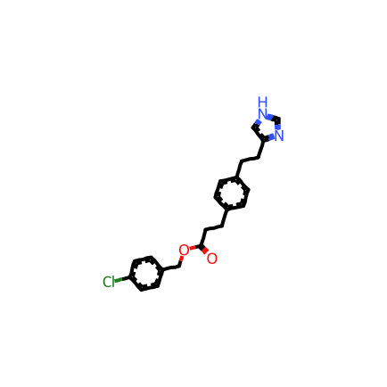 O=C(CCc1ccc(CCc2c[nH]cn2)cc1)OCc1ccc(Cl)cc1